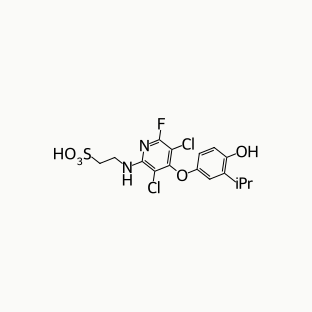 CC(C)c1cc(Oc2c(Cl)c(F)nc(NCCS(=O)(=O)O)c2Cl)ccc1O